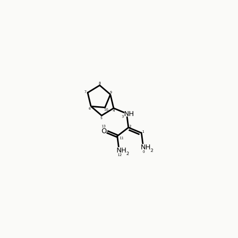 NC=C(NC1CC2CCC1C2)C(N)=O